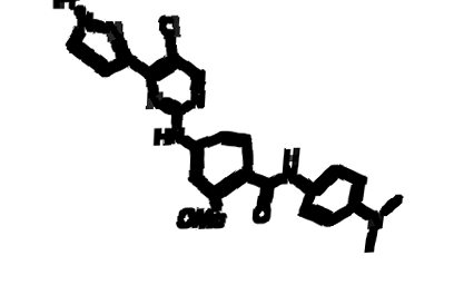 COc1cc(Nc2ncc(Cl)c(-c3ccn(C(C)C)n3)n2)ccc1C(=O)Nc1ccc(N(C)C)cc1